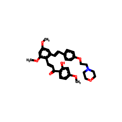 COc1ccc(C(=O)/C=C/c2c(/C=C/c3ccc(OCCN4CCOCC4)cc3)cc(OC)cc2OC)c(O)c1